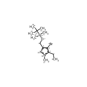 CCc1c(Br)c(CO[Si](C)(C)C(C)(C)C)nn1C